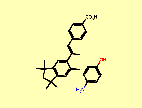 C/C(=C\c1ccc(C(=O)O)cc1)c1cc2c(cc1C)C(C)(C)CC2(C)C.Nc1ccc(O)cc1